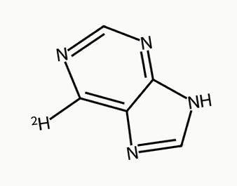 [2H]c1ncnc2[nH]cnc12